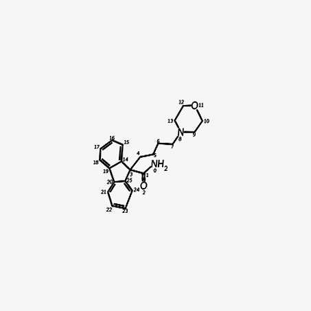 NC(=O)C1(CCCCN2CCOCC2)c2ccccc2-c2ccccc21